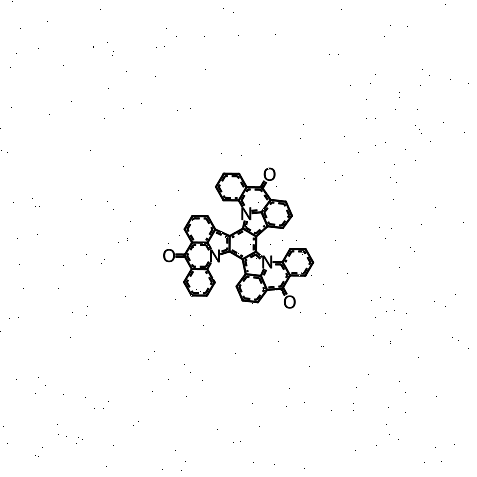 O=c1c2ccccc2n2c3c1cccc3c1c2c2c3cccc4c(=O)c5ccccc5n(c43)c2c2c3cccc4c(=O)c5ccccc5n(c43)c12